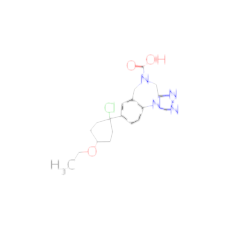 CCOC1CCC(Cl)(c2ccc3c(c2)CN(C(=O)O)Cc2nncn2-3)CC1